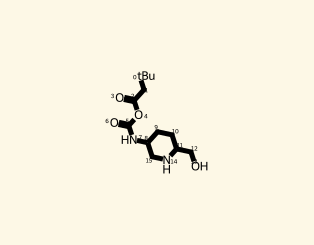 CC(C)(C)CC(=O)OC(=O)NC1CCC(CO)NC1